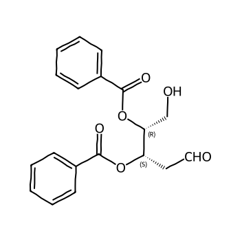 O=CC[C@H](OC(=O)c1ccccc1)[C@@H](CO)OC(=O)c1ccccc1